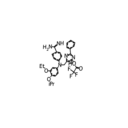 CCOc1cc(N(Cc2nc(-c3ccccc3)no2)c2ccc(C(=N)N)cc2)ccc1OC(C)C.O=C(O)C(F)(F)F